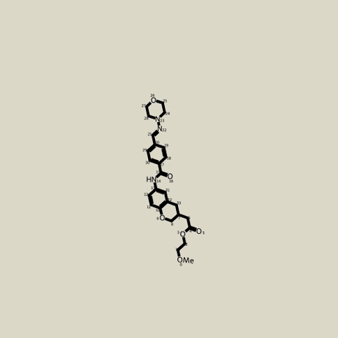 COCCOC(=O)CC1COc2ccc(NC(=O)c3ccc(C=NN4CCOCC4)cc3)cc2C1